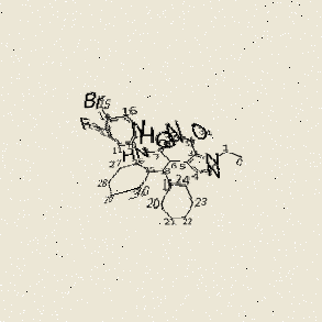 CCn1ncc(C(C(=O)Nc2cc(F)c(Br)cn2)C(C2CCCCC2)C2CCCCC2)c1C(N)=O